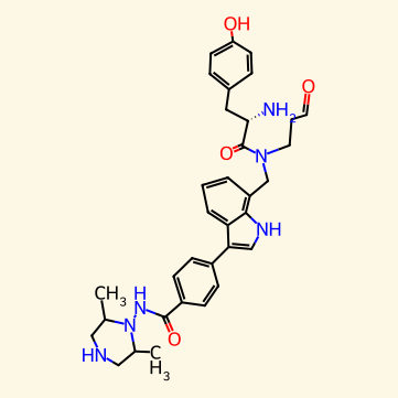 CC1CNCC(C)N1NC(=O)c1ccc(-c2c[nH]c3c(CN(CCC=O)C(=O)[C@@H](N)Cc4ccc(O)cc4)cccc23)cc1